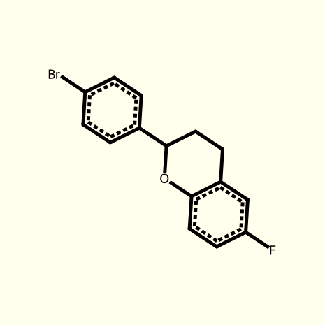 Fc1ccc2c(c1)CCC(c1ccc(Br)cc1)O2